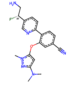 CN(C)c1cc(Oc2cc(C#N)ccc2-c2ccc([C@H](F)CN)cn2)n(C)n1